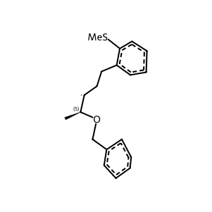 CSc1ccccc1CC[CH][C@H](C)OCc1ccccc1